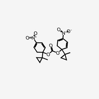 CC1(C2(OC(=O)OC3(C4(C)CC4)C=CC([N+](=O)[O-])=CC3)C=CC([N+](=O)[O-])=CC2)CC1